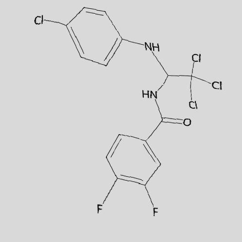 O=C(NC(Nc1ccc(Cl)cc1)C(Cl)(Cl)Cl)c1ccc(F)c(F)c1